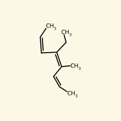 C\C=C/C(C)=C(\C=C/C)CC